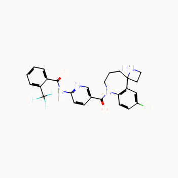 O=C(Nc1ccc(C(=O)N2CCCC3(CCN3)c3cc(Cl)ccc32)cn1)c1ccccc1C(F)(F)F